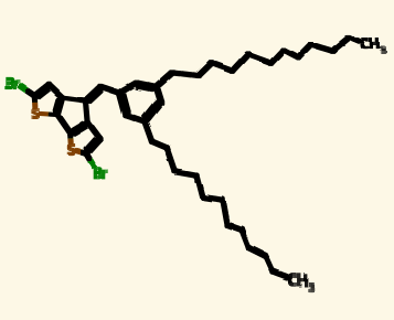 CCCCCCCCCCCCc1cc(C=C2c3cc(Br)sc3-c3sc(Br)cc32)cc(CCCCCCCCCCCC)c1